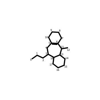 CCCC1CC2=C(CCCC2)C(C)C2CCCCC12